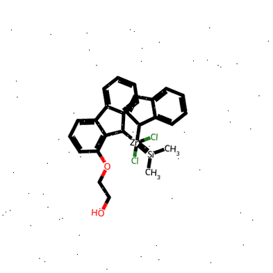 C[Si](C)=[Zr]([Cl])([Cl])([CH]1C=Cc2ccccc21)[CH]1c2ccccc2-c2cccc(OCCO)c21